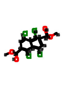 COC(=O)c1cc(Cl)c2c(Cl)c(C(=O)OC)cc(Cl)c2c1Cl